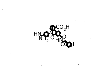 N=C(N)c1ccc(NC(=O)c2cc(C(=O)NC(Cc3ccccc3)C(=O)O)ccc2-c2ccccc2C(=O)O)cc1